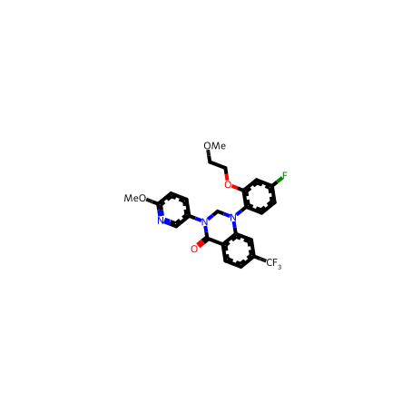 COCCOc1cc(F)ccc1N1CN(c2ccc(OC)nc2)C(=O)c2ccc(C(F)(F)F)cc21